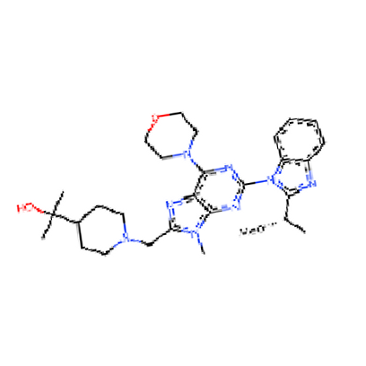 CO[C@@H](C)c1nc2ccccc2n1-c1nc(N2CCOCC2)c2nc(CN3CCC(C(C)(C)O)CC3)n(C)c2n1